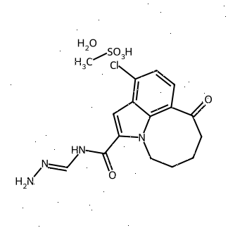 CS(=O)(=O)O.NN=CNC(=O)c1cc2c(Cl)ccc3c2n1CCCCC3=O.O